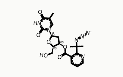 Cc1cn([C@H]2C[C@@H](OC(=O)c3cccnc3C(C)(C)N=[N+]=[N-])[C@@H](CO)O2)c(=O)[nH]c1=O